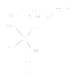 Cl.O.O[Si](O)(O)O.[CaH2].[CsH].[Fe].[Mn].[NaH].[Zr]